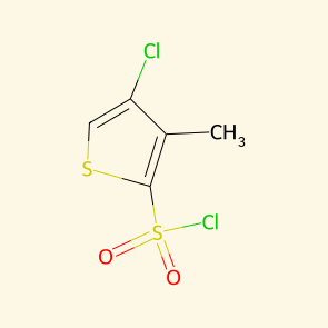 Cc1c(Cl)csc1S(=O)(=O)Cl